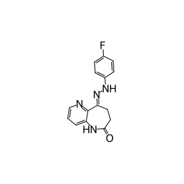 O=C1CCC(=NNc2ccc(F)cc2)c2ncccc2N1